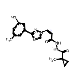 CC1(C(=O)NNC(=O)/C=C\n2cnc(-c3cc(S)cc(C(F)(F)F)c3)n2)CC1